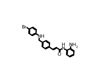 Nc1ccccc1NC(=O)C=Cc1ccc(CNc2ccc(Br)cc2)cc1